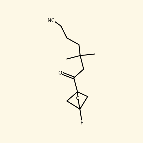 CC(C)(CCCC#N)CC(=O)C12CC(F)(C1)C2